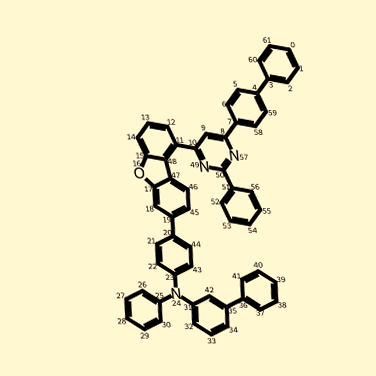 c1ccc(-c2ccc(-c3cc(-c4cccc5oc6cc(-c7ccc(N(c8ccccc8)c8cccc(-c9ccccc9)c8)cc7)ccc6c45)nc(-c4ccccc4)n3)cc2)cc1